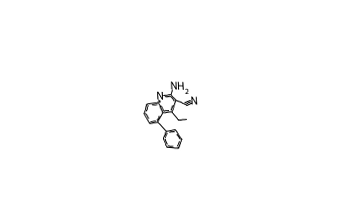 CCc1c(C#N)c(N)nc2cccc(-c3ccccc3)c12